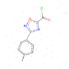 Cc1ccc(-c2noc(C(=O)Cl)n2)cc1